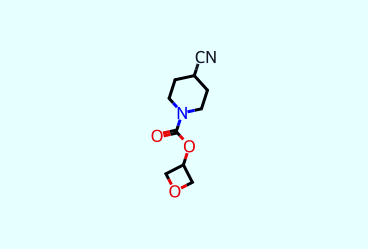 N#CC1CCN(C(=O)OC2COC2)CC1